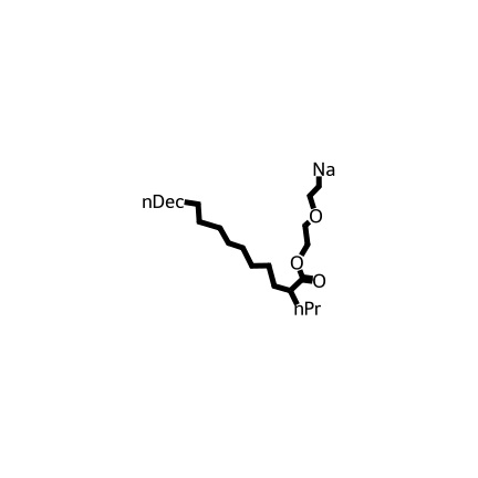 CCCCCCCCCCCCCCCCCCC(CCC)C(=O)OCCOC[CH2][Na]